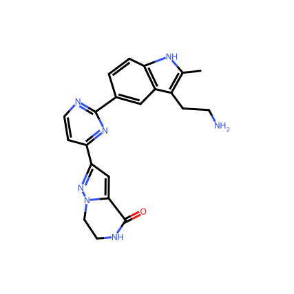 Cc1[nH]c2ccc(-c3nccc(-c4cc5n(n4)CCNC5=O)n3)cc2c1CCN